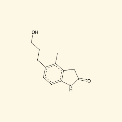 Cc1c(CCCO)ccc2c1CC(=O)N2